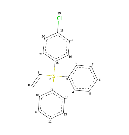 C=CS(c1ccccc1)(c1ccccc1)c1ccc(Cl)cc1